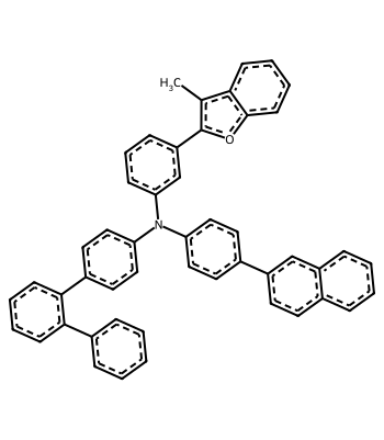 Cc1c(-c2cccc(N(c3ccc(-c4ccc5ccccc5c4)cc3)c3ccc(-c4ccccc4-c4ccccc4)cc3)c2)oc2ccccc12